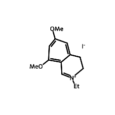 CC[N+]1=Cc2c(cc(OC)cc2OC)CC1.[I-]